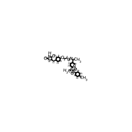 CC(=NOCCOc1ccc(CC2SC(=O)NC2=O)cc1)c1ccc(N(C)S(=O)(=O)c2ccc(C)cc2)nc1